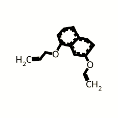 C=CCOc1cccc2ccc(OC=C)cc12